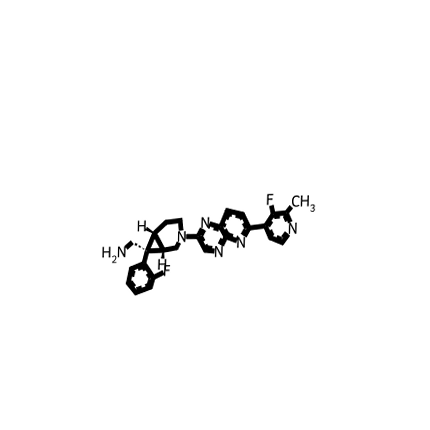 Cc1nccc(-c2ccc3nc(N4CC[C@@H]5[C@H](C4)[C@@]5(CN)c4ccccc4F)cnc3n2)c1F